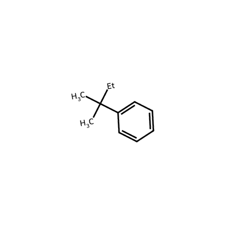 CCC(C)(C)c1ccccc1